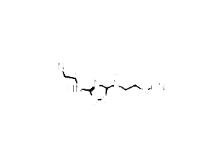 N#CSCCNC1N=C(NCCN)SS1